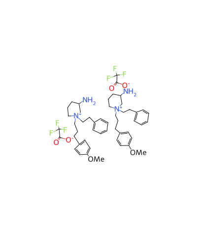 COc1ccc(CCC[N+]2(CCc3ccccc3)CCCC(N)C2)cc1.COc1ccc(CCC[N+]2(CCc3ccccc3)CCCC(N)C2)cc1.O=C([O-])C(F)(F)F.O=C([O-])C(F)(F)F